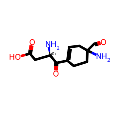 N[C@H](CC(=O)O)C(=O)C1=CCC(N)(C=O)CC1